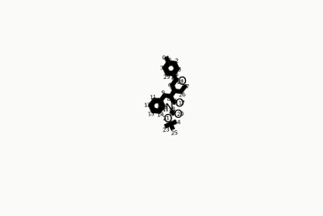 Cc1ccc(C2CC(C(Cc3ccccc3)C(=O)NC(=O)OC(C)(C)C)CCO2)cc1